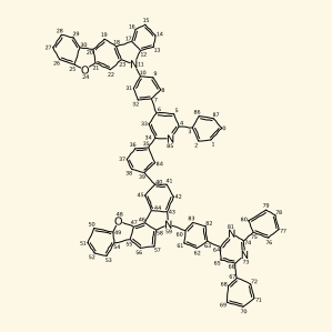 c1ccc(-c2cc(-c3ccc(-n4c5ccccc5c5cc6c(cc54)oc4ccccc46)cc3)cc(-c3cccc(-c4ccc5c(c4)c4c6oc7ccccc7c6ccc4n5-c4ccc(-c5cc(-c6ccccc6)nc(-c6ccccc6)n5)cc4)c3)n2)cc1